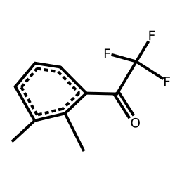 Cc1cccc(C(=O)C(F)(F)F)c1C